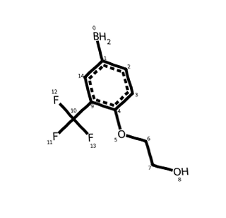 Bc1ccc(OCCO)c(C(F)(F)F)c1